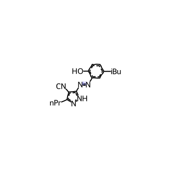 [C-]#[N+]c1c(CCC)n[nH]c1/N=N/c1cc(C(C)CC)ccc1O